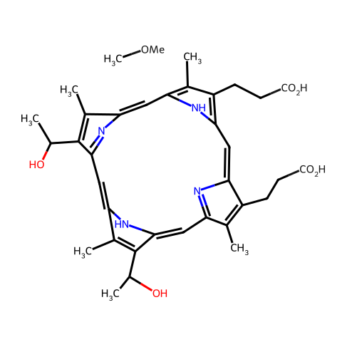 CC1=C(CCC(=O)O)c2cc3[nH]c(cc4nc(cc5[nH]c(cc1n2)c(C(C)O)c5C)C(C(C)O)=C4C)c(C)c3CCC(=O)O.COC